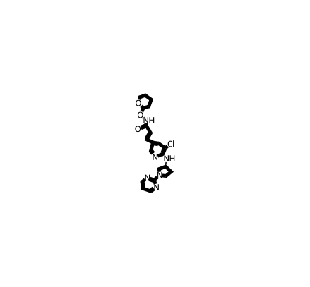 O=C(C=Cc1cnc(N[C@@H]2CCN(c3ncccn3)C2)c(Cl)c1)NOC1CCCCO1